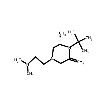 C=C1CN(CCN(C)C)C[C@H](C)N1C(C)(C)C